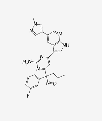 CCCC(N=O)(c1cccc(F)c1)c1cc(-c2c[nH]c3ncc(-c4cnn(C)c4)cc23)nc(N)n1